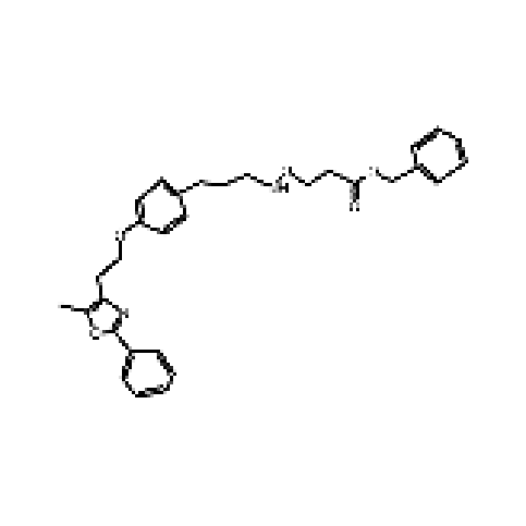 Cc1oc(-c2ccccc2)nc1CCOc1ccc(CCCNOCCC(=O)OCc2ccccc2)cc1